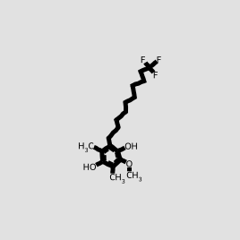 COc1c(C)c(O)c(C)c(CCCCCCCCCC(F)(F)F)c1O